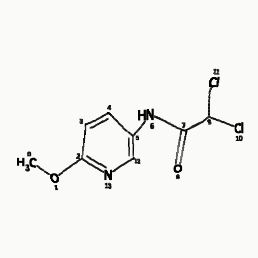 COc1ccc(NC(=O)C(Cl)Cl)cn1